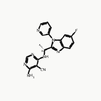 C[C@@H](Nc1ncnc(N)c1C#N)c1nc2ccc(F)cc2n1-c1cccnc1